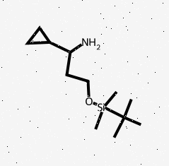 CC(C)(C)[Si](C)(C)OCCC(N)C1CC1